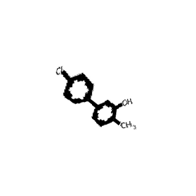 Cc1ccc(-c2ccc(Cl)cc2)cc1O